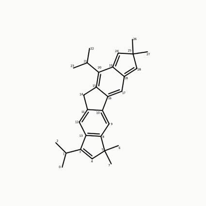 CC(C)C1=CC(C)(C)c2cc3c(cc21)Cc1c-3cc2c(c1C(C)C)=CC(C)(C)C=2